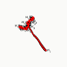 C=C=C=C=C=C=C=C=C=C=C=C=C=C=C=C=C=C=C=C=C=C=C=C=C=C=C=C=C=C=C=C=C=C=C=C(N(C(C)=O)C1CC(=O)N(c2c(CC)cc(Cc3cc(CC)c(N4C(=O)C=CC4=O)c(CC)c3)cc2CC)C1=O)N(C(C)=O)C1CC(=O)N(c2c(CC)cc(Cc3cc(CC)c(N4C(=O)CC(C)C4=O)c(CC)c3)cc2CC)C1=O